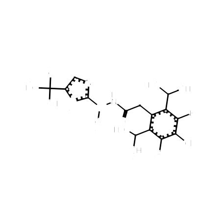 CC(C)c1c(F)c(Cl)c(F)c(C(C)C)c1CC(=O)N[S+]([O-])c1ncc(C(C)(C)O)s1